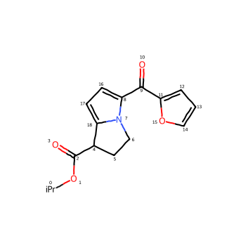 CC(C)OC(=O)C1CCn2c(C(=O)c3ccco3)ccc21